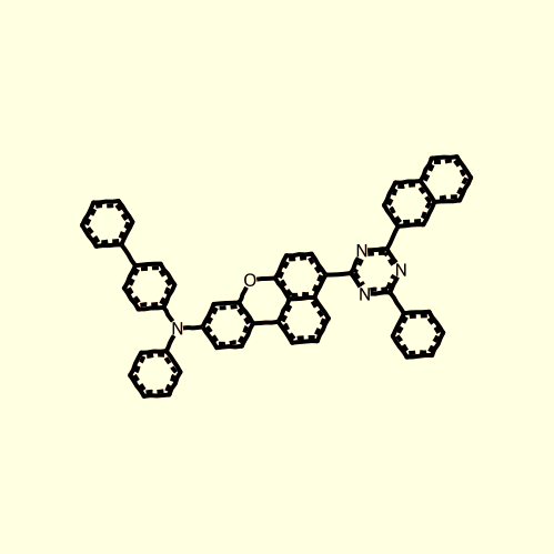 c1ccc(-c2ccc(N(c3ccccc3)c3ccc4c(c3)Oc3ccc(-c5nc(-c6ccccc6)nc(-c6ccc7ccccc7c6)n5)c5cccc-4c35)cc2)cc1